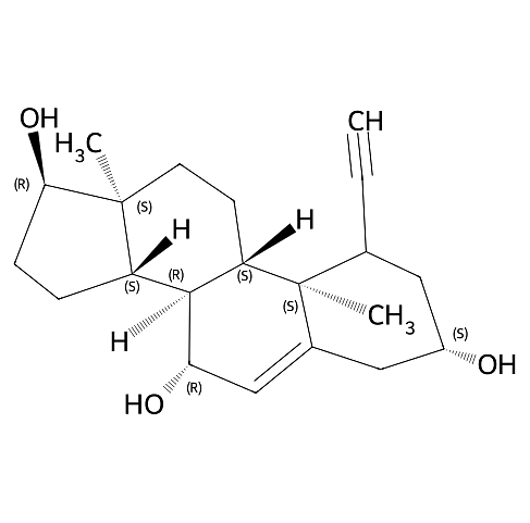 C#CC1C[C@H](O)CC2=C[C@H](O)[C@H]3[C@@H]4CC[C@@H](O)[C@@]4(C)CC[C@@H]3[C@]21C